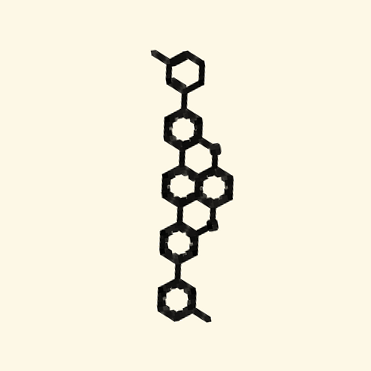 CC1=CCCC(c2ccc3c(c2)Oc2ccc4c5c(ccc-3c25)-c2ccc(-c3cccc(C)c3)cc2O4)=C1